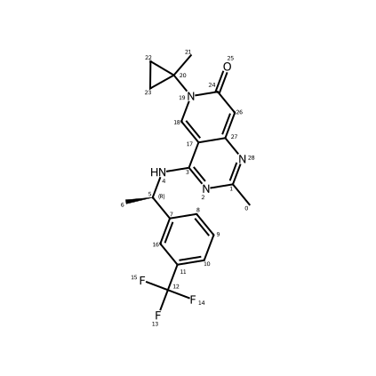 Cc1nc(N[C@H](C)c2cccc(C(F)(F)F)c2)c2cn(C3(C)CC3)c(=O)cc2n1